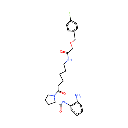 Nc1ccccc1NC(=O)[C@@H]1CCCN1C(=O)CCCCCNC(=O)COCc1ccc(F)cc1